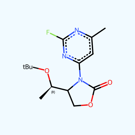 Cc1cc(N2C(=O)OCC2[C@@H](C)OC(C)(C)C)nc(F)n1